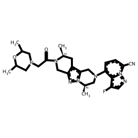 CC1CN(CC(=O)N2Cc3nn4c(c3C[C@@H]2C)CN(c2ccc(C#N)n3ncc(F)c23)C[C@H]4C)CC(C)O1